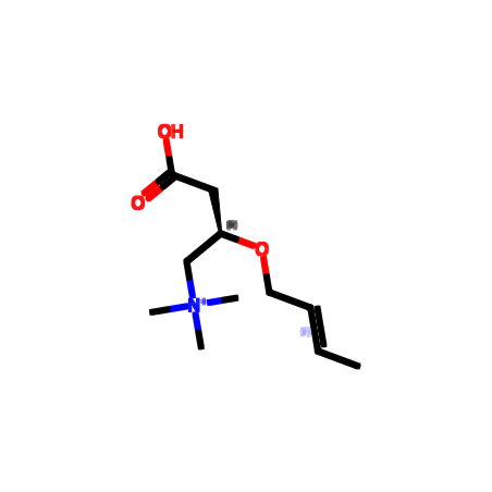 C/C=C/CO[C@H](CC(=O)O)C[N+](C)(C)C